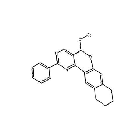 CCOC1Oc2cc3c(cc2-c2nc(-c4ccccc4)ncc21)CCCC3